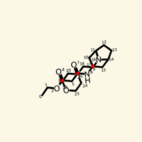 CCOC(=O)CC(=O)NC1CC2CCC(C1)N2CCN1CCOCC1